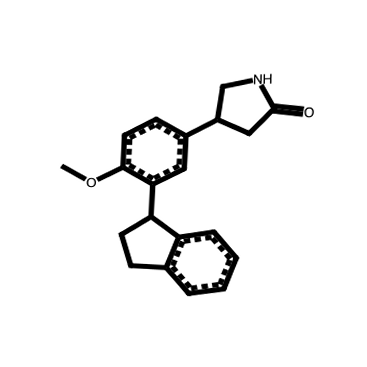 COc1ccc(C2CNC(=O)C2)cc1C1CCc2ccccc21